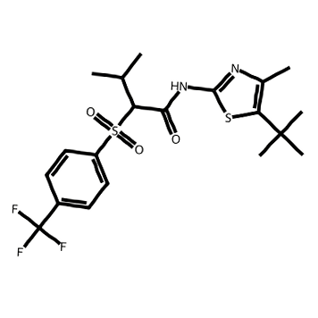 Cc1nc(NC(=O)C(C(C)C)S(=O)(=O)c2ccc(C(F)(F)F)cc2)sc1C(C)(C)C